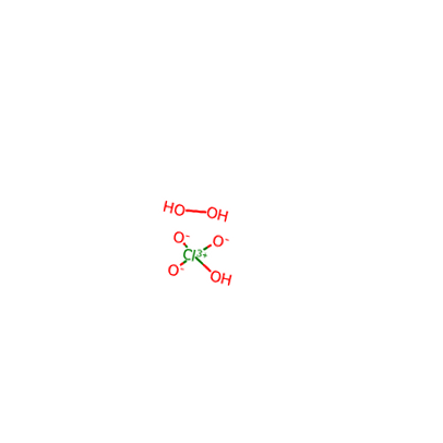 OO.[O-][Cl+3]([O-])([O-])O